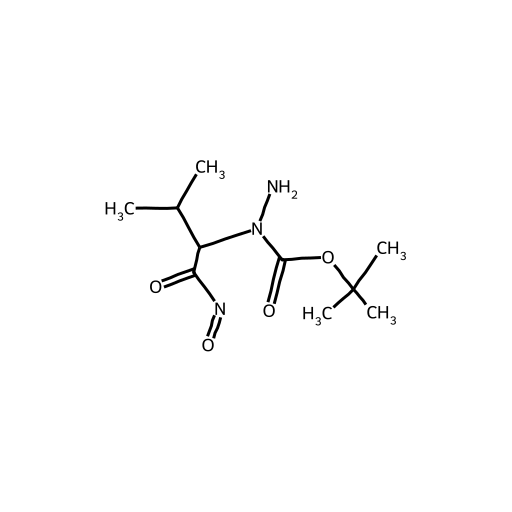 CC(C)C(C(=O)N=O)N(N)C(=O)OC(C)(C)C